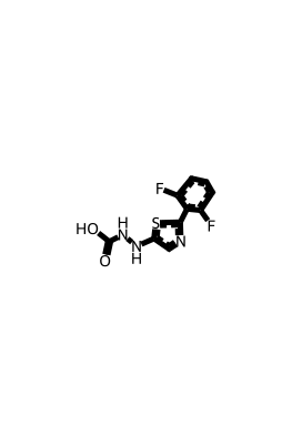 O=C(O)NNc1cnc(-c2c(F)cccc2F)s1